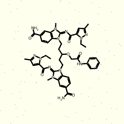 CCn1nc(C)cc1C(=O)N=c1n(C)c2cc(C(N)=O)ccc2n1CCC(CCn1c(=NC(=O)c2cc(C)nn2CC)n(C)c2cc(C(N)=O)ccc21)OCC(=O)Nc1ccccc1